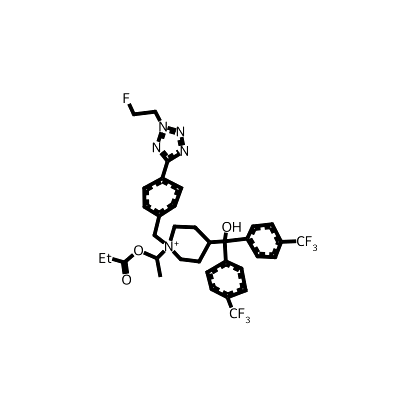 [CH2]CC(=O)OC(C)[N+]1(Cc2ccc(-c3nnn(CCF)n3)cc2)CCC(C(O)(c2ccc(C(F)(F)F)cc2)c2ccc(C(F)(F)F)cc2)CC1